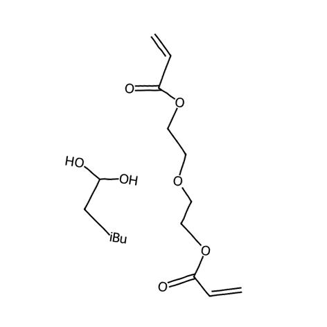 C=CC(=O)OCCOCCOC(=O)C=C.CCC(C)CC(O)O